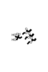 C=CC(=O)OCC.C=CC(=O)OCC.C=CC(=O)OCC.CCC(CO)(CO)CO